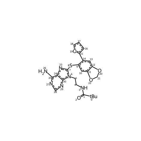 CC(C)(C)C(=O)NCCn1c(Sc2cc3c(cc2-c2ccco2)OCO3)nc2c(N)ncnc21